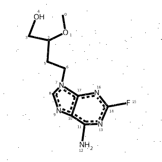 COC(CO)CCn1cnc2c(N)nc(F)nc21